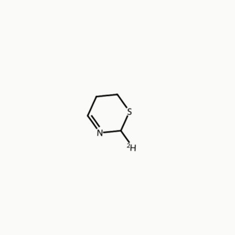 [2H]C1N=CCCS1